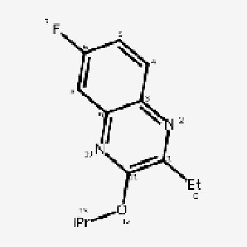 CCc1nc2ccc(F)cc2nc1OC(C)C